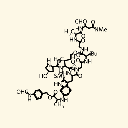 CCC(C)C(NC(=O)CNC(=O)C(Cc1c(SC)[nH]c2cc(NC(C)C(=O)OCc3ccc(NC=O)cc3)ccc12)NC(=O)C(NC(=O)C1C[C@@H](O)CN1)[C@@H](C)C(O)CO)C(=O)NCC(=O)N[C@@H](C)C(=O)NC(C=O)CC(=O)NC